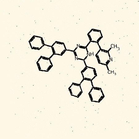 Cc1ccc(-c2ccccc2C2=NC(c3ccc(-c4ccccc4)c(-c4ccccc4)c3)=NC(c3ccc(-c4ccccc4)c(-c4ccccc4)c3)N2)c(C)n1